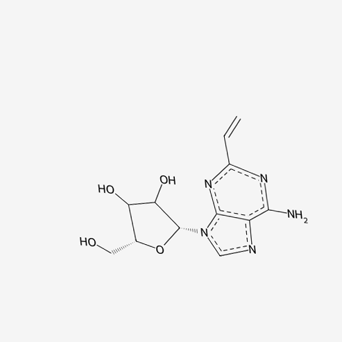 C=Cc1nc(N)c2ncn([C@@H]3O[C@H](CO)C(O)C3O)c2n1